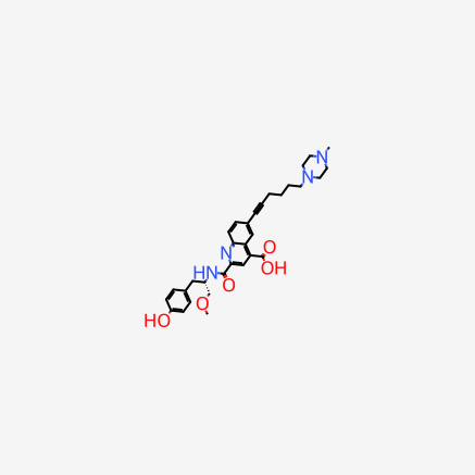 COC[C@H](Cc1ccc(O)cc1)NC(=O)c1cc(C(=O)O)c2cc(C#CCCCCN3CCN(C)CC3)ccc2n1